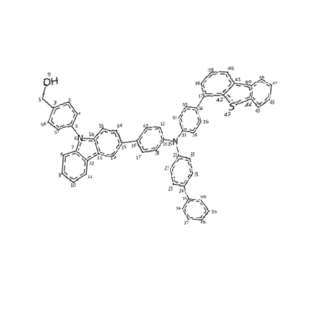 OCc1ccc(-n2c3ccccc3c3cc(-c4ccc(N(c5ccc(-c6ccccc6)cc5)c5ccc(-c6cccc7c6sc6ccccc67)cc5)cc4)ccc32)cc1